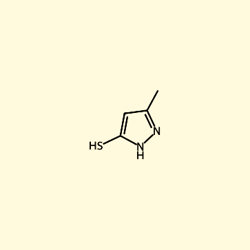 Cc1cc(S)[nH]n1